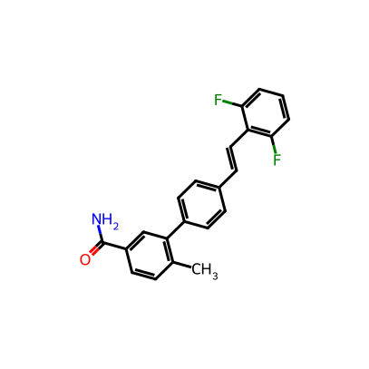 Cc1ccc(C(N)=O)cc1-c1ccc(/C=C/c2c(F)cccc2F)cc1